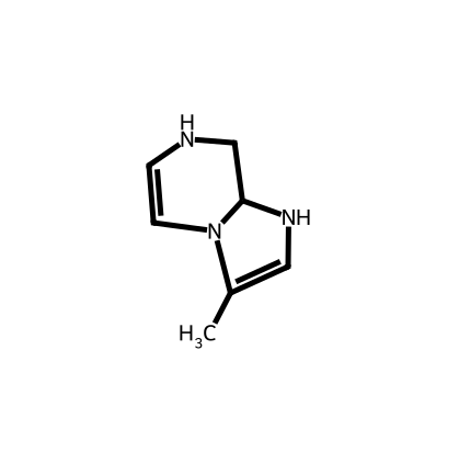 CC1=CNC2CNC=CN12